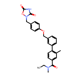 Cc1cc(C(=O)N(C)CC#N)ccc1-c1cccc(COc2ccc(Cn3oc(=O)[nH]c3=O)cc2)c1